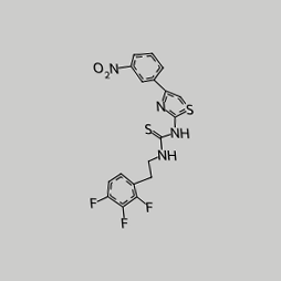 O=[N+]([O-])c1cccc(-c2csc(NC(=S)NCCc3ccc(F)c(F)c3F)n2)c1